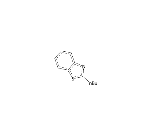 [CH2]CCCc1nc2ccccc2s1